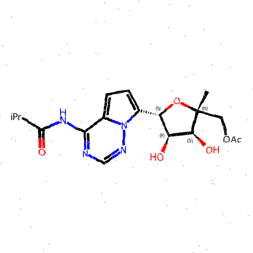 CC(=O)OC[C@@]1(C)O[C@@H](c2ccc3c(NC(=O)C(C)C)ncnn23)[C@H](O)[C@@H]1O